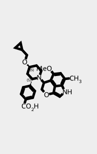 COc1cc(C)c2[nH]cc3c2c1C(N1CC[C@H](OCC2CC2)C[C@H]1c1ccc(C(=O)O)cc1)CO3